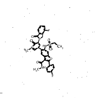 CCS(=O)(=O)Nc1cc2oc(-c3ccc(F)cc3)c(C(=O)NC)c2cc1-c1cc(N2Cc3c(F)cccc3C2=O)c(=O)n(C)c1